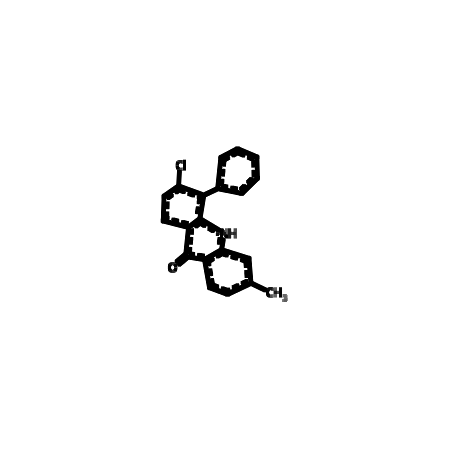 Cc1ccc2c(=O)c3ccc(Cl)c(-c4ccccc4)c3[nH]c2c1